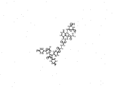 CCC(C)C(=O)OC1CC(OC(=O)CCCC(=O)Oc2ccc(C3C(CCC(OC(C)=O)c4ccc(F)cc4)C(=O)N3c3ccc(F)cc3)cc2)C=C2C=CC(C)C(CCC3CC(O)CC(=O)O3)C21